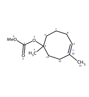 COC(=O)OC1(C)CCC/C=C(/C)CC1